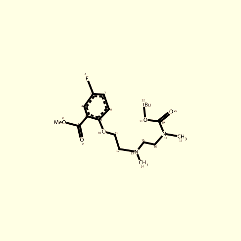 COC(=O)c1cc(F)ccc1OCCN(C)CCN(C)C(=O)OC(C)(C)C